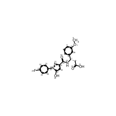 COc1cccc([C@H](CC(=O)O)NC(=O)c2cc(O)n(-c3ccc(F)cc3)n2)c1